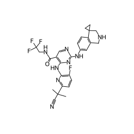 CC(C)(C#N)c1ccc(F)c(Nc2nc(Nc3ccc4c(c3)CNCC43CC3)ncc2C(=O)NCC(F)(F)F)n1